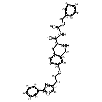 O=C(NC(=O)C1Cc2ccc(OCCc3coc(-c4ccccc4)n3)cc2CN1)OCc1ccccc1